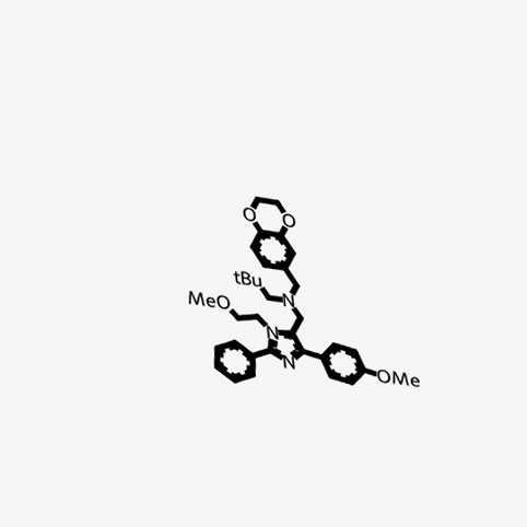 COCCn1c(-c2ccccc2)nc(-c2ccc(OC)cc2)c1CN(Cc1ccc2c(c1)OCCO2)CC(C)(C)C